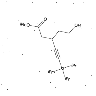 COC(=O)CC(C#C[Si](C(C)C)(C(C)C)C(C)C)CCO